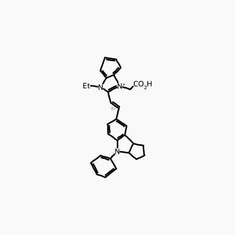 CCn1c(/C=C/c2ccc3c(c2)C2CCCC2N3c2ccccc2)[n+](CC(=O)O)c2ccccc21